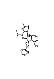 Cc1ccc(NC(=O)C2(c3ccccc3C(C)C)CN(c3ncco3)C2)c(OC(F)F)n1